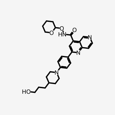 O=C(NOC1CCCCO1)c1cc(-c2ccc(N3CCC(CCCO)CC3)cc2)nc2ccncc12